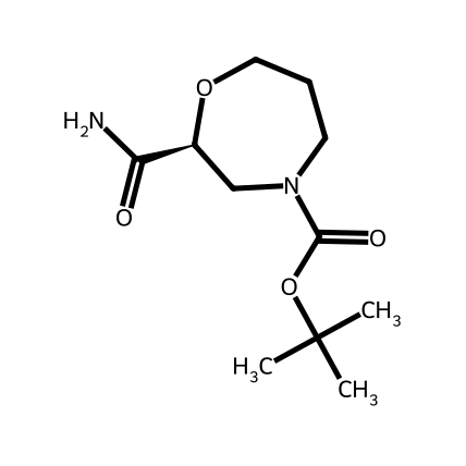 CC(C)(C)OC(=O)N1CCCO[C@H](C(N)=O)C1